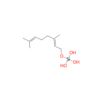 CC(C)=CCCC(C)=CCO[Si](O)(O)O